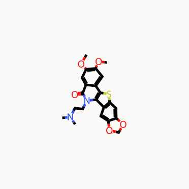 COc1cc2c(=O)n(CCN(C)C)c3c4cc5c(cc4sc3c2cc1OC)OCO5